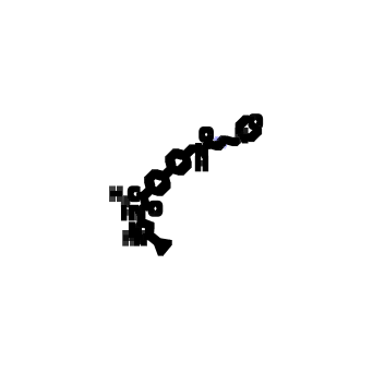 CC(C(=O)Nc1cc(C2CC2)[nH]n1)c1ccc(-c2ccc(CNC(=O)/C=C/CN3CCOCC3)cc2)cc1